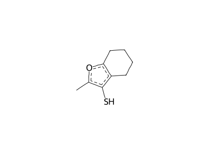 Cc1oc2c(c1S)CCCC2